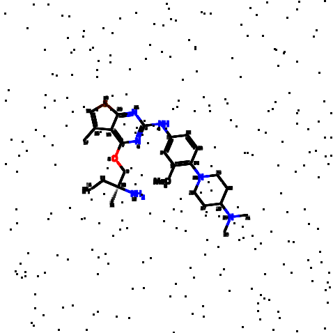 COc1cc(Nc2nc(OC[C@@](C)(N)CC(C)C)c3c(C)csc3n2)ccc1N1CCC(N(C)C)CC1